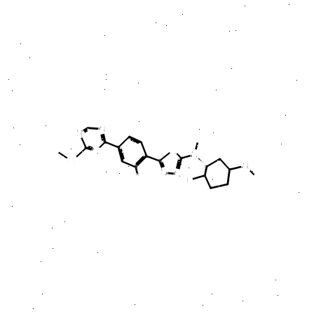 CNC1CCC(F)[C@@H](N(C)c2nnc(-c3ccc(-c4ncnc(OC)n4)cc3O)s2)C1